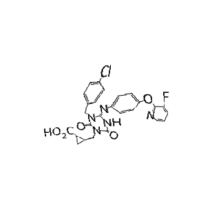 O=C(O)[C@H]1C[C@@H]1Cn1c(=O)[nH]/c(=N\c2ccc(Oc3ncccc3F)cc2)n(Cc2ccc(Cl)cc2)c1=O